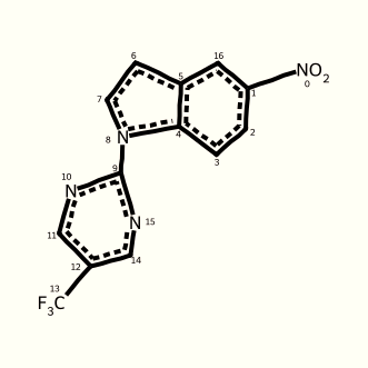 O=[N+]([O-])c1ccc2c(ccn2-c2ncc(C(F)(F)F)cn2)c1